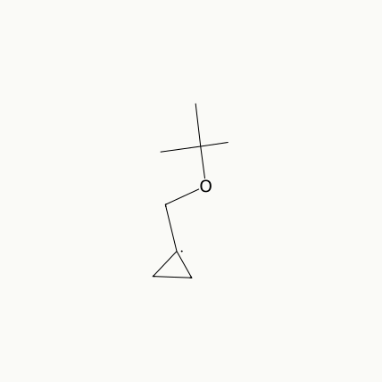 CC(C)(C)OC[C]1CC1